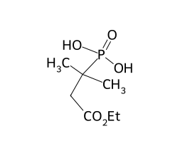 CCOC(=O)CC(C)(C)P(=O)(O)O